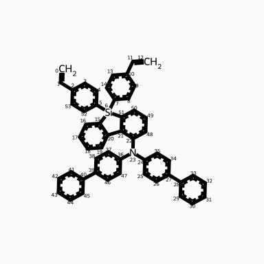 C=Cc1ccc([Si]2(c3ccc(C=C)cc3)c3ccccc3-c3c(N(c4ccc(-c5ccccc5)cc4)c4ccc(-c5ccccc5)cc4)cccc32)cc1